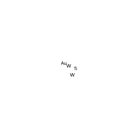 [Au].[Ti].[W].[W]